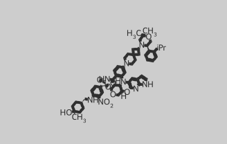 CC(C)c1ccccc1[C@@H]1COC(C)(C)CN1C1CC2(CCN(c3ccc(C(=O)NS(=O)(=O)c4ccc(NC[C@H]5CC[C@](C)(O)CC5)c([N+](=O)[O-])c4)c(N4c5cc6cc[nH]c6nc5O[C@H]5COCC[C@@H]54)c3)CC2)C1